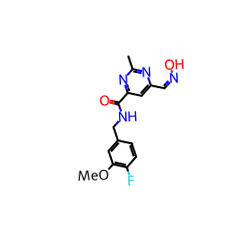 COc1cc(CNC(=O)c2cc(/C=N\O)nc(C)n2)ccc1F